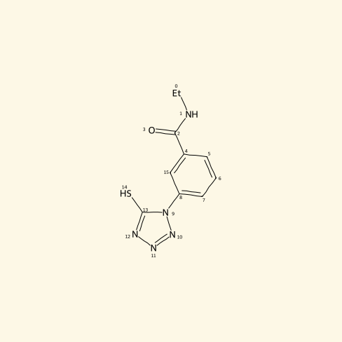 CCNC(=O)c1cccc(-n2nnnc2S)c1